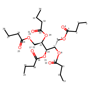 CCCC(=O)OC[C@H](OC(=O)CCC)[C@@H](OC(=O)CCC)[C@@H](COC(=O)CCC)OC(=O)CCC